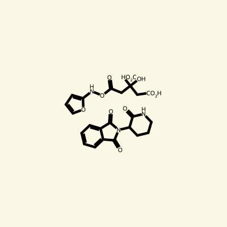 O=C(O)CC(O)(CC(=O)ONc1ccco1)C(=O)O.O=C1NCCCC1N1C(=O)c2ccccc2C1=O